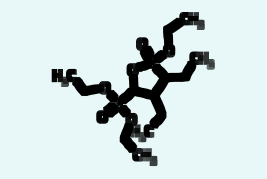 CCOP1(=O)OC(P(=O)(OCC)OCC)C(CC)C1CC